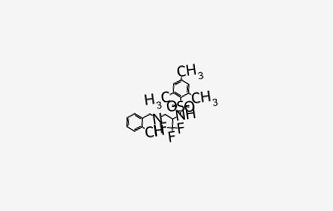 Cc1cc(C)c(S(=O)(=O)NC(CNCc2ccccc2Cl)C(F)(F)F)c(C)c1